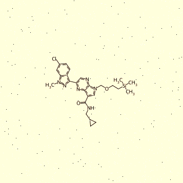 Cn1nc(-c2cnc3c(n2)c(C(=O)NCC2CC2)cn3COCC[Si](C)(C)C)c2ccc(Cl)cc21